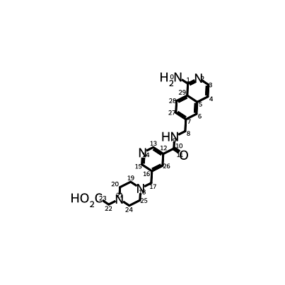 Nc1nccc2cc(CNC(=O)c3cncc(CN4CCN(CC(=O)O)CC4)c3)ccc12